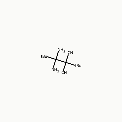 CC(C)(C)C(N)(N)C(C#N)(C#N)C(C)(C)C